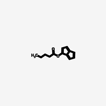 CCCCC(=O)OC1=CC=C2C=CC=C21